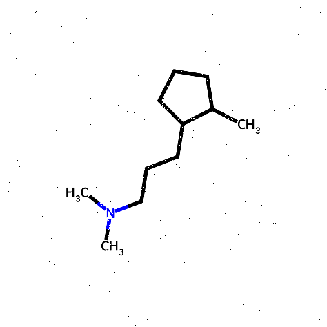 CC1CCCC1CCCN(C)C